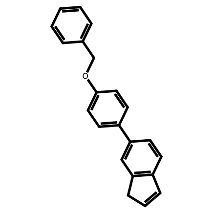 C1=Cc2ccc(-c3ccc(OCc4ccccc4)cc3)cc2C1